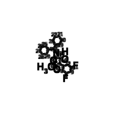 CS(=O)(=O)C(c1cc(F)cc(F)c1)C1(O)CN(C(c2ccccc2)c2ccccc2)C1